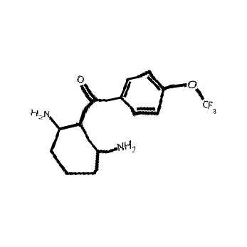 NC1CCCC(N)C1C(=O)c1ccc(OC(F)(F)F)cc1